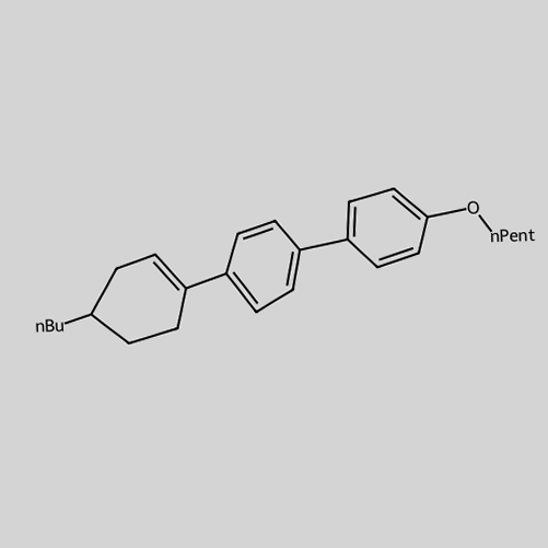 CCCCCOc1ccc(-c2ccc(C3=CCC(CCCC)CC3)cc2)cc1